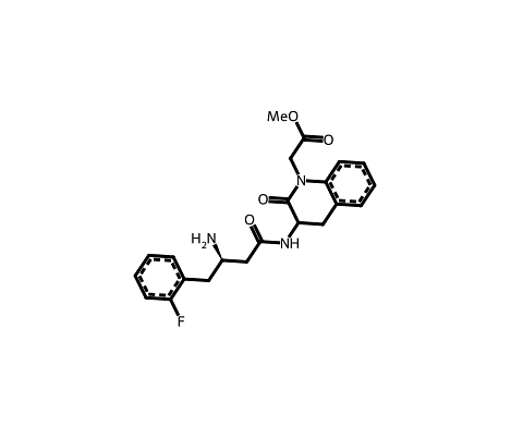 COC(=O)CN1C(=O)C(NC(=O)C[C@H](N)Cc2ccccc2F)Cc2ccccc21